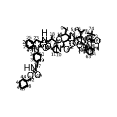 CCC(C)C(C(CC(=O)N1CCC[C@H]1C(OC)C(C)C(=O)NC(Cc1ccccc1)C(=O)Nc1ccc(CNC(=O)OCc2ccccc2)cc1)OC)N(C)C(=O)C(NC(=O)[C@@H]1[C@H]2CC[C@H](C2)N1C(=O)OC(C)(C)C)C(C)C